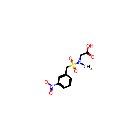 CN(CC(=O)O)S(=O)(=O)Cc1cccc([N+](=O)[O-])c1